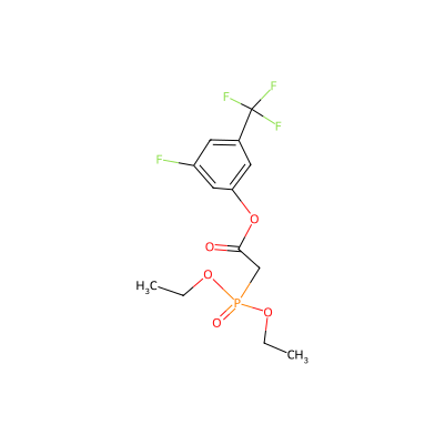 CCOP(=O)(CC(=O)Oc1cc(F)cc(C(F)(F)F)c1)OCC